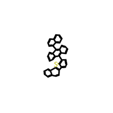 c1ccc2c(-c3c4ccccc4c(-c4cccc5c4sc4c6ccccc6ccc54)c4ccccc34)cccc2c1